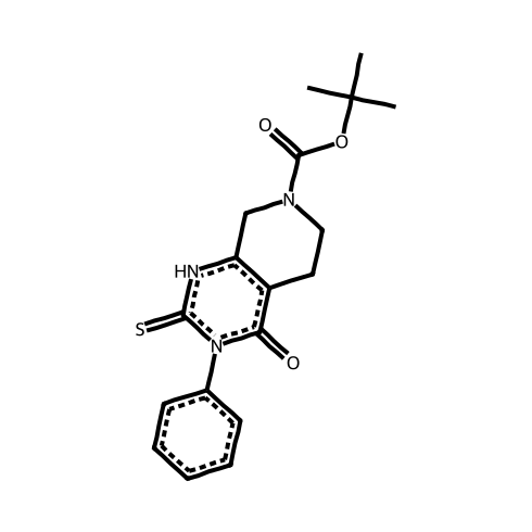 CC(C)(C)OC(=O)N1CCc2c([nH]c(=S)n(-c3ccccc3)c2=O)C1